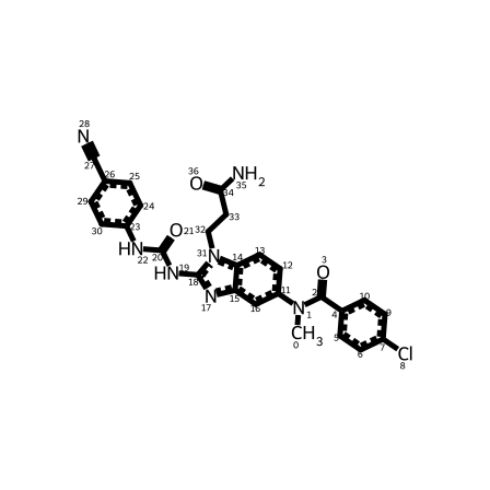 CN(C(=O)c1ccc(Cl)cc1)c1ccc2c(c1)nc(NC(=O)Nc1ccc(C#N)cc1)n2CCC(N)=O